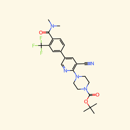 CN(C)C(=O)c1ccc(-c2cnc(N3CCN(C(=O)OC(C)(C)C)CC3)c(C#N)c2)cc1C(F)(F)F